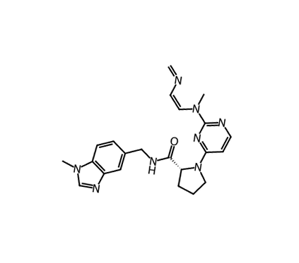 C=N/C=C\N(C)c1nccc(N2CCC[C@@H]2C(=O)NCc2ccc3c(c2)ncn3C)n1